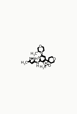 Cc1cc(Nc2cc(C3(S(C)(=O)=O)CCOCC3)cc(N3CCOC[C@H]3C)n2)[nH]n1